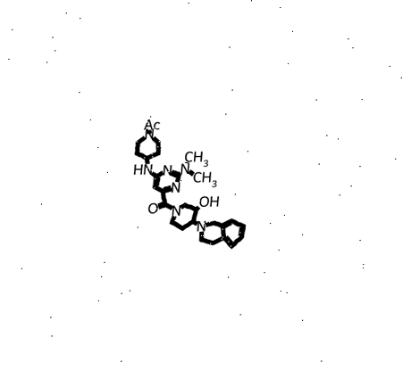 CC(=O)N1CCC(Nc2cc(C(=O)N3CCC(N4CCc5ccccc5C4)C(O)C3)nc(N(C)C)n2)CC1